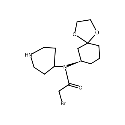 O=C(CBr)N(C1CCNCC1)[C@@H]1CCCC2(C1)OCCO2